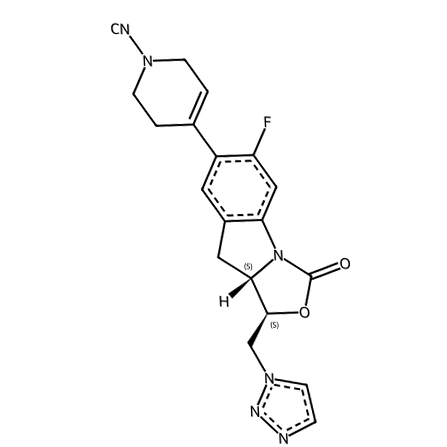 [C-]#[N+]N1CC=C(c2cc3c(cc2F)N2C(=O)O[C@@H](Cn4ccnn4)[C@@H]2C3)CC1